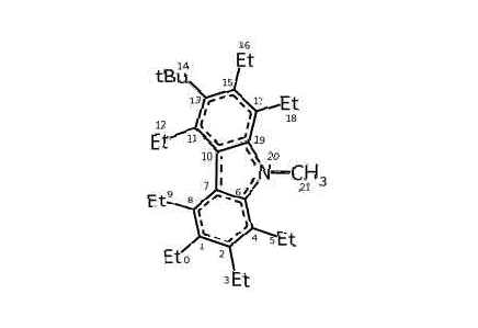 CCc1c(CC)c(CC)c2c(c1CC)c1c(CC)c(C(C)(C)C)c(CC)c(CC)c1n2C